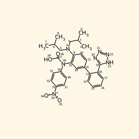 CC(C)CN(CC(C)C)c1ccc(-c2ccccc2-c2nnn[nH]2)cc1N(C(=O)O)c1ccc([N+](=O)[O-])cc1